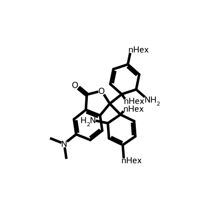 CCCCCCC1=CC(N)C(CCCCCC)(C2(C3(CCCCCC)C=CC(CCCCCC)=CC3N)OC(=O)c3cc(N(C)C)ccc32)C=C1